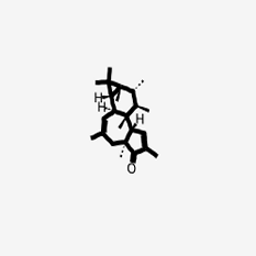 CC1=C[C@H]2[C@@H]3C(C)(C)[C@]3(C)[C@H](C)[C@@H](C)[C@]2(C)[C@@H]2C=C(C)C(=O)[C@@]2(C)C1